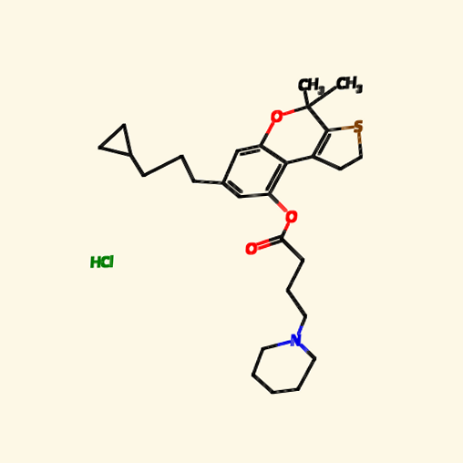 CC1(C)Oc2cc(CCCC3CC3)cc(OC(=O)CCCN3CCCCC3)c2C2=C1SCC2.Cl